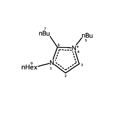 CCCCCCn1cc[n+](CCCC)c1CCCC